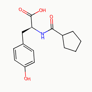 O=C(N[C@@H](Cc1ccc(O)cc1)C(=O)O)C1CCCC1